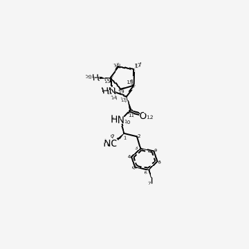 N#C[C@H](Cc1ccc(I)cc1)NC(=O)[C@H]1N[C@@H]2CCC1C2